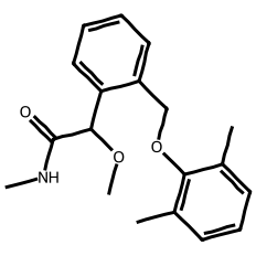 CNC(=O)C(OC)c1ccccc1COc1c(C)cccc1C